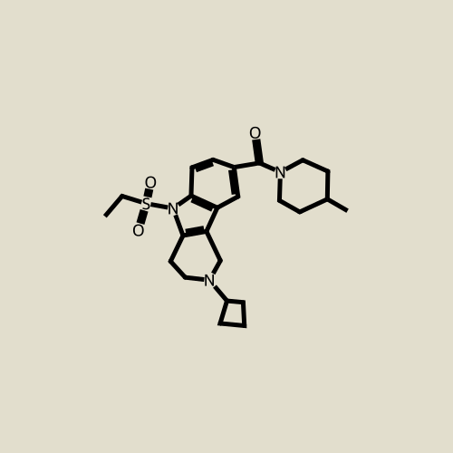 CCS(=O)(=O)n1c2c(c3cc(C(=O)N4CCC(C)CC4)ccc31)CN(C1CCC1)CC2